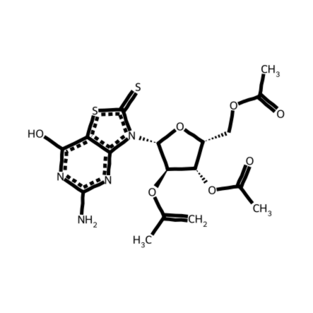 C=C(C)O[C@@H]1[C@@H](OC(C)=O)[C@@H](COC(C)=O)O[C@H]1n1c(=S)sc2c(O)nc(N)nc21